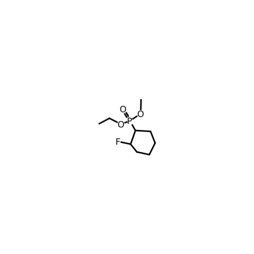 CCOP(=O)(OC)C1CCCCC1F